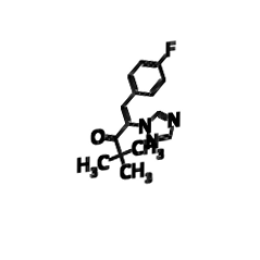 CC(C)(C)C(=O)/C(=C/c1ccc(F)cc1)n1cncn1